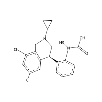 O=C(O)N(S)c1ccccc1[C@@H]1CN(C2CC2)Cc2c(Cl)cc(Cl)cc21